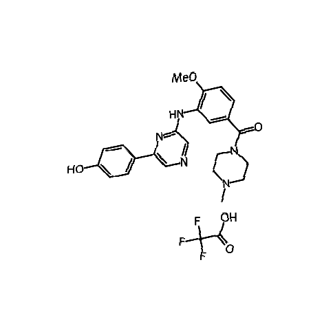 COc1ccc(C(=O)N2CCN(C)CC2)cc1Nc1cncc(-c2ccc(O)cc2)n1.O=C(O)C(F)(F)F